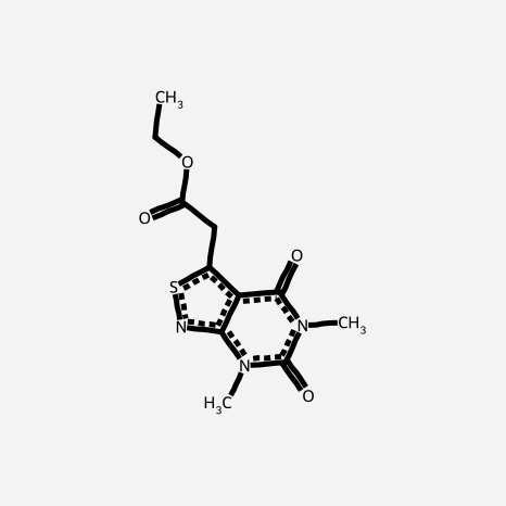 CCOC(=O)Cc1snc2c1c(=O)n(C)c(=O)n2C